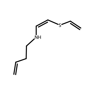 C=CCCN/C=C\SC=C